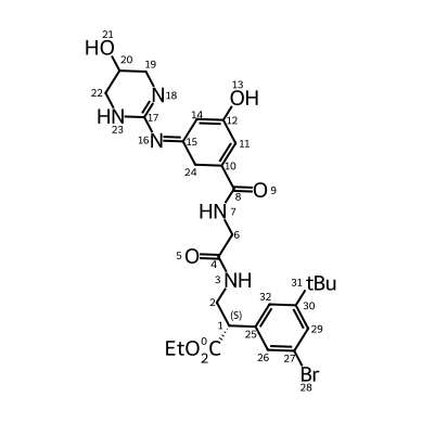 CCOC(=O)[C@H](CNC(=O)CNC(=O)C1=CC(O)=CC(=NC2=NCC(O)CN2)C1)c1cc(Br)cc(C(C)(C)C)c1